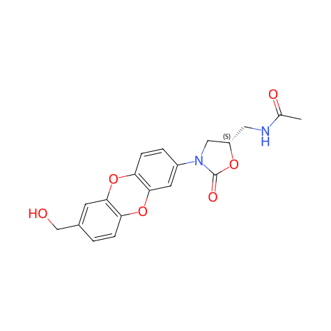 CC(=O)NC[C@H]1CN(c2ccc3c(c2)Oc2ccc(CO)cc2O3)C(=O)O1